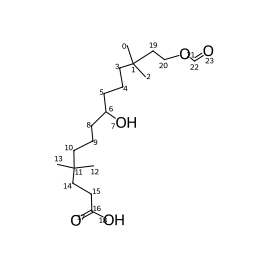 CC(C)(CCCC(O)CCCC(C)(C)CCC(=O)O)CCOC=O